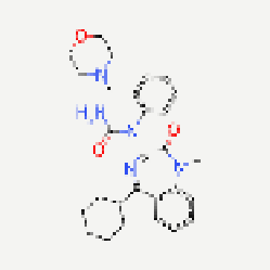 CN1C(=O)[C@@H](N(C(N)=O)c2ccccc2CN2CCOCC2)N=C(C2CCCCC2)c2ccccc21